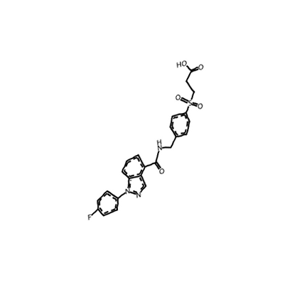 O=C(O)CCS(=O)(=O)c1ccc(CNC(=O)c2cccc3c2cnn3-c2ccc(F)cc2)cc1